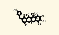 CC(=O)C1=CC(Cc2cc(C(C)C)c3c(c2O)C(=O)C2=C(O)[C@@]4(O)C(=O)C(C(C)=O)=C(O)C(C(C)C)[C@@]4(C)C[C@@]2(C)C3)C=C1